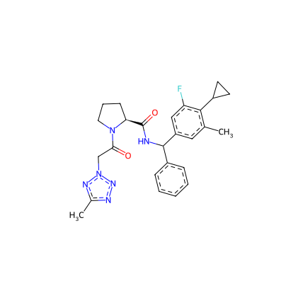 Cc1nnn(CC(=O)N2CCC[C@H]2C(=O)NC(c2ccccc2)c2cc(C)c(C3CC3)c(F)c2)n1